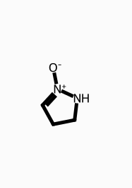 [O-][N+]1=CCCN1